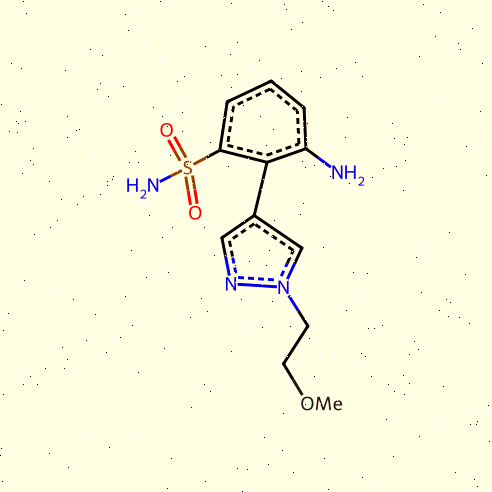 COCCn1cc(-c2c(N)cccc2S(N)(=O)=O)cn1